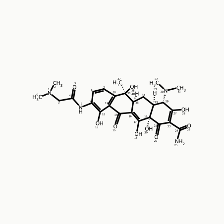 CN(C)CC(=O)Nc1ccc2c(c1O)C(=O)C1=C(O)[C@]3(O)C(=O)C(C(N)=O)=C(O)[C@@H](N(C)C)[C@@H]3C[C@@H]1[C@]2(C)O